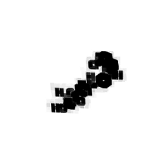 C[C@H](C(=O)N1CC(O)C1)c1cnc(NC[C@H]2CC[C@H](Nc3ccc4ccnc(Cl)c4n3)CC2)nc1